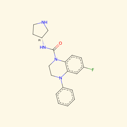 O=C(N[C@@H]1CCNC1)N1CCN(c2ccccc2)c2cc(F)ccc21